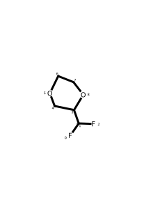 F[C](F)C1COCCO1